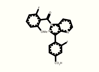 COc1cccc(F)c1C(=O)n1nc(-c2ccc(C(=O)O)cc2F)c2ncccc21